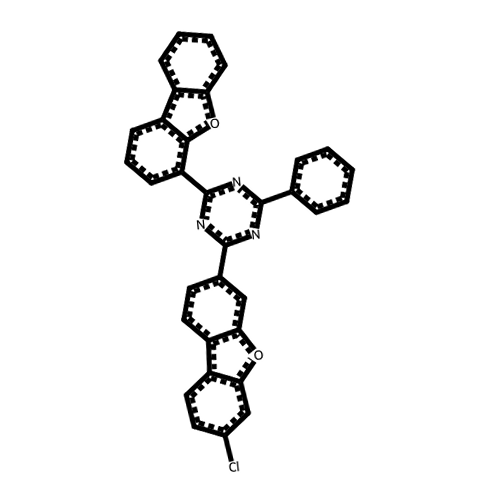 Clc1ccc2c(c1)oc1cc(-c3nc(-c4ccccc4)nc(-c4cccc5c4oc4ccccc45)n3)ccc12